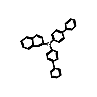 c1ccc(-c2ccc(N(c3ccc(-c4ccccc4)cc3)c3ccc4ccccc4c3)cc2)cc1